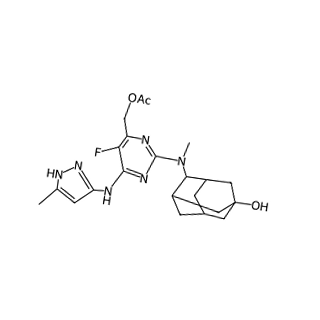 CC(=O)OCc1nc(N(C)C2C3CC4CC2CC(O)(C4)C3)nc(Nc2cc(C)[nH]n2)c1F